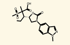 CCC([C@H]1CN(c2ccc3c(cnn3C)c2)C(=O)O1)C(C)(C(=O)O)S(C)(=O)=O